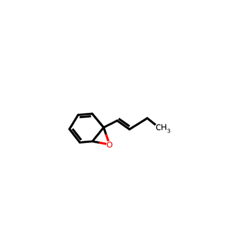 CCC=CC12C=CC=CC1O2